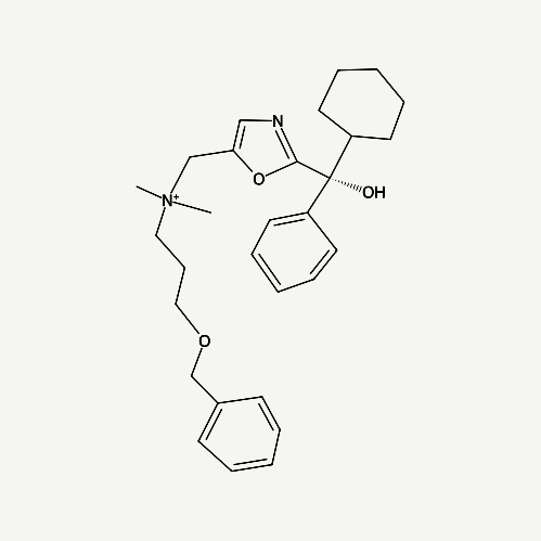 C[N+](C)(CCCOCc1ccccc1)Cc1cnc([C@](O)(c2ccccc2)C2CCCCC2)o1